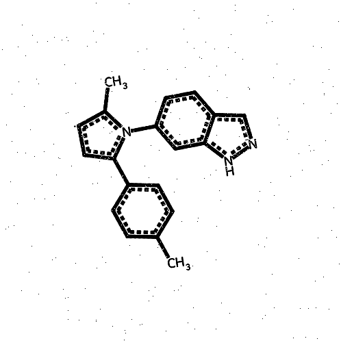 Cc1ccc(-c2c[c]c(C)n2-c2ccc3cn[nH]c3c2)cc1